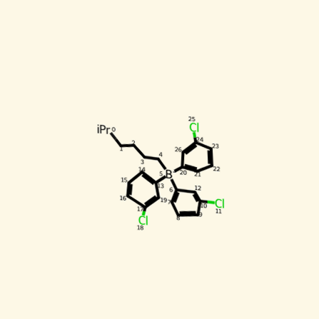 CC(C)CCCC[B-](c1cccc(Cl)c1)(c1cccc(Cl)c1)c1cccc(Cl)c1